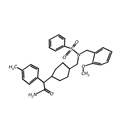 COc1ccccc1CN(CC1CCC(C(C(N)=O)c2ccc(C)cc2)CC1)S(=O)(=O)c1ccccc1